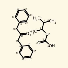 CC(C)C(C)OC(=O)O.O=C(Cc1ccccc1)Cc1ccccc1